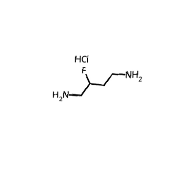 Cl.NCCC(F)CN